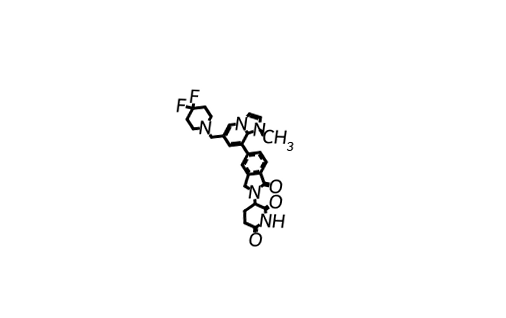 CN1C=CN2C=C(CN3CCC(F)(F)CC3)C=C(c3ccc4c(c3)CN(C3CCC(=O)NC3=O)C4=O)C12